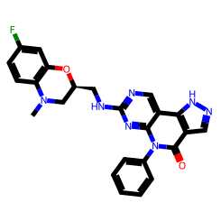 CN1C[C@H](CNc2ncc3c4[nH]ncc4c(=O)n(-c4ccccc4)c3n2)Oc2cc(F)ccc21